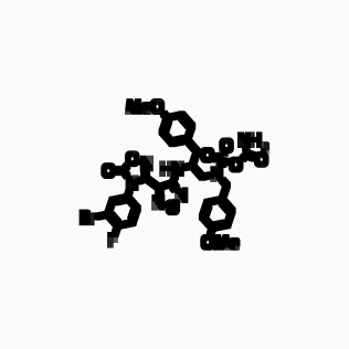 COc1ccc(CC(CN(Cc2ccc(OC)cc2)S(=O)(=O)OC(N)=O)Nc2nonc2-c2noc(=O)n2-c2ccc(F)c(Br)c2)cc1